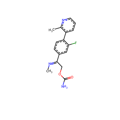 C/N=C(\COC(N)=O)c1ccc(-c2cccnc2C)c(F)c1